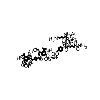 CC(=O)N[C@@H](CCCCN)C(=O)N[C@H](C(=O)N[C@@H](CCCNC(N)=O)C(=O)Nc1ccc(COC(=O)N(C)CCN(C)C(=O)Oc2cc3c(c4c(C)c[nH]c24)[C@H](CCl)CN3C(=O)C23CC(C(=O)N4C[C@@H](CCl)c5c4cc(OP(=O)(O)O)c4[nH]cc(C)c54)(C2)C3)cc1)C(C)C